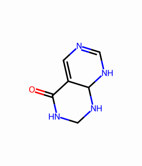 O=C1NCNC2NC=NC=C12